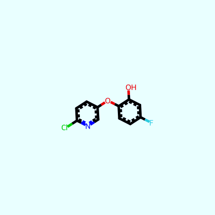 Oc1cc(F)ccc1Oc1ccc(Cl)nc1